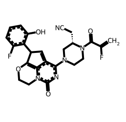 C=C(F)C(=O)N1CCN(c2nc(=O)n3c4c2=CC(c2c(O)cccc2F)C=4OCC3)C[C@@H]1CC#N